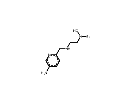 CCN(O)CCNCc1ccc(N)cn1